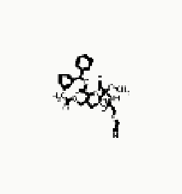 CO[C@@]1(NC(=O)CSCC#N)C(=O)N2C(C(=O)OC(c3ccccc3)c3ccccc3)=C(COC(C)=O)CS[C@@H]21